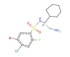 NC[C@H](NS(=O)(=O)c1cc(Br)c(Cl)cc1F)C1CCCCC1